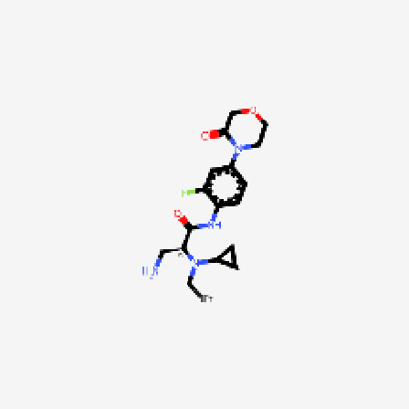 CC(C)CN(C1CC1)[C@@H](CN)C(=O)Nc1ccc(N2CCOCC2=O)cc1F